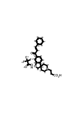 O=C(O)C(F)(F)F.O=C(O)CCN1CCC2(CC1)COc1cc(C(=O)C=Cc3ccccc3)ccc12